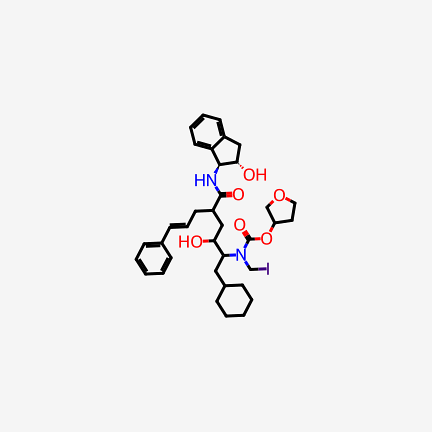 O=C(N[C@H]1c2ccccc2C[C@@H]1O)C(CC=Cc1ccccc1)CC(O)C(CC1CCCCC1)N(CI)C(=O)OC1CCOC1